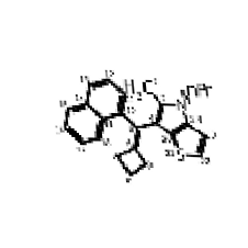 CCCn1c(C)c(C(=C2CCC2)c2cccc3ccccc23)c2sccc21